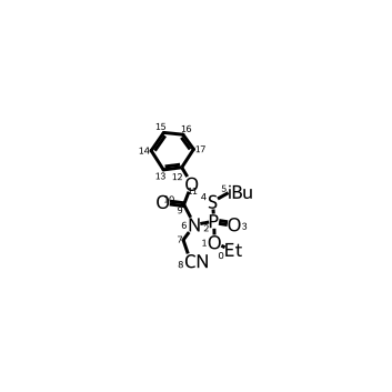 CCOP(=O)(SC(C)CC)N(CC#N)C(=O)Oc1ccccc1